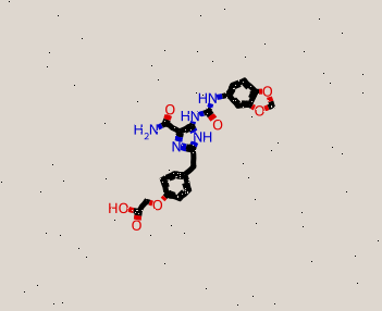 NC(=O)c1nc(Cc2ccc(OCC(=O)O)cc2)[nH]c1NC(=O)Nc1ccc2c(c1)OCO2